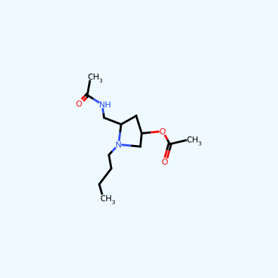 CCCCN1CC(OC(C)=O)CC1CNC(C)=O